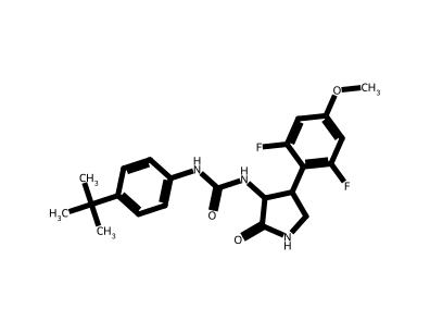 COc1cc(F)c(C2CNC(=O)C2NC(=O)Nc2ccc(C(C)(C)C)cc2)c(F)c1